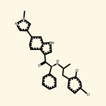 CC(Cc1ccc(Cl)cc1Cl)N[C@H](C(=O)c1c[nH]c2cc(-c3cnn(C)c3)ccc12)c1ccccc1